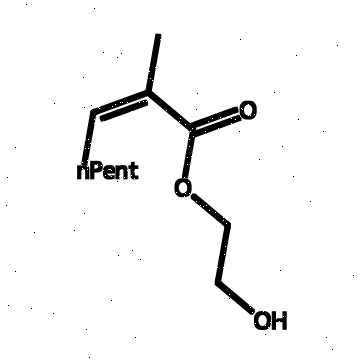 CCCCCC=C(C)C(=O)OCCO